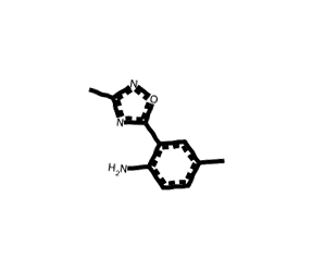 Cc1ccc(N)c(-c2nc(C)no2)c1